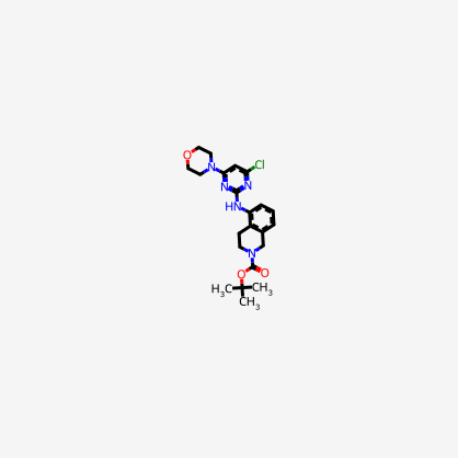 CC(C)(C)OC(=O)N1CCc2c(cccc2Nc2nc(Cl)cc(N3CCOCC3)n2)C1